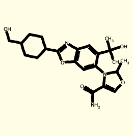 CC1OC=C(C(N)=O)N1c1cc2oc(C3CCC(CO)CC3)nc2cc1C(C)(C)O